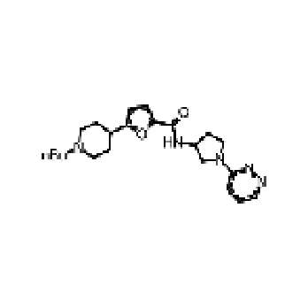 CCCCN1CCC(c2ccc(C(=O)NC3CCN(c4cccnn4)C3)o2)CC1